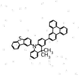 CC1(C)c2ccccc2N(c2ccc3sc4ccccc4c3c2)c2ccc(-c3ccc4c5ccccc5c5ccccc5c4c3)cc21